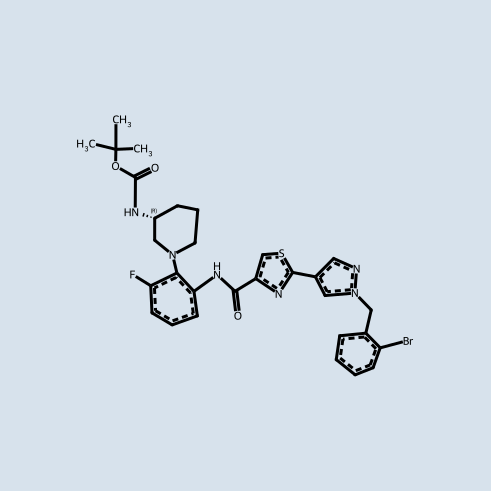 CC(C)(C)OC(=O)N[C@@H]1CCCN(c2c(F)cccc2NC(=O)c2csc(-c3cnn(Cc4ccccc4Br)c3)n2)C1